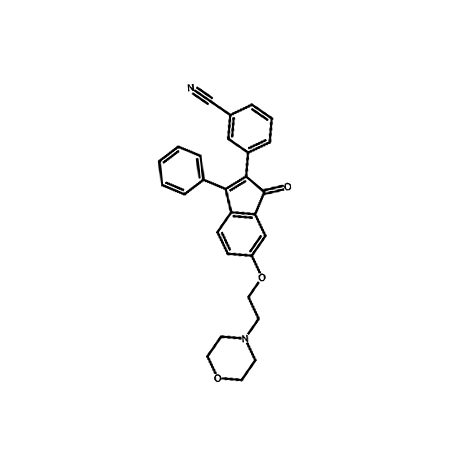 N#Cc1cccc(C2=C(c3ccccc3)c3ccc(OCCN4CCOCC4)cc3C2=O)c1